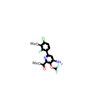 COC(=O)c1nc(-c2ccc(Cl)c(OC)c2F)cc(N)c1OC(F)F